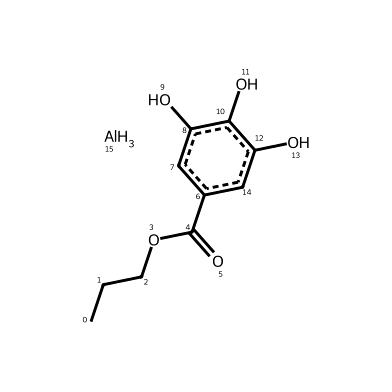 CCCOC(=O)c1cc(O)c(O)c(O)c1.[AlH3]